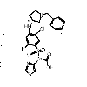 O=C(O)N(c1cscn1)S(=O)(=O)c1cc(Cl)c(N[C@@H]2CCN(Cc3ccccc3)C2)cc1F